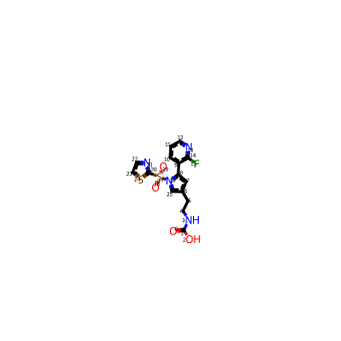 O=C(O)NCCc1cc(-c2cccnc2F)n(S(=O)(=O)c2nccs2)c1